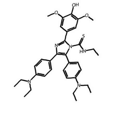 CCNC(=S)n1c(-c2cc(OC)c(O)c(OC)c2)nc(-c2ccc(N(CC)CC)cc2)c1-c1ccc(N(CC)CC)cc1